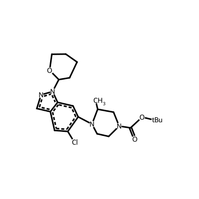 CC1CN(C(=O)OC(C)(C)C)CCN1c1cc2c(cnn2C2CCCCO2)cc1Cl